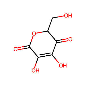 O=C1OC(CO)C(=O)C(O)=C1O